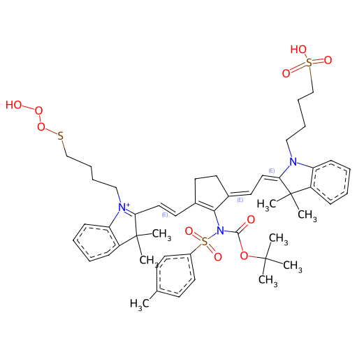 Cc1ccc(S(=O)(=O)N(C(=O)OC(C)(C)C)C2=C(/C=C/C3=[N+](CCCCSOOO)c4ccccc4C3(C)C)CC/C2=C\C=C2\N(CCCCS(=O)(=O)O)c3ccccc3C2(C)C)cc1